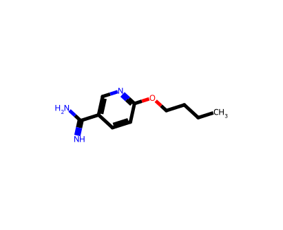 CCCCOc1ccc(C(=N)N)cn1